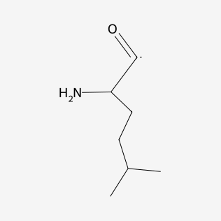 CC(C)CCC(N)[C]=O